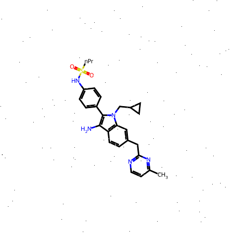 CCCS(=O)(=O)Nc1ccc(-c2c(N)c3ccc(Cc4nccc(C)n4)cc3n2CC2CC2)cc1